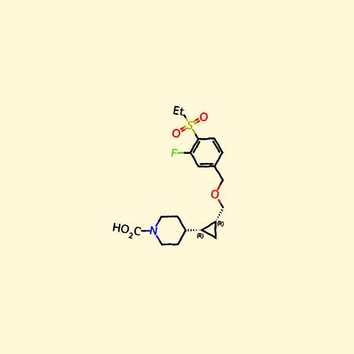 CCS(=O)(=O)c1ccc(COC[C@@H]2C[C@@H]2C2CCN(C(=O)O)CC2)cc1F